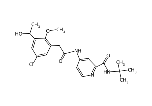 COc1c(CC(=O)Nc2ccnc(C(=O)NC(C)(C)C)c2)cc(Cl)cc1C(C)O